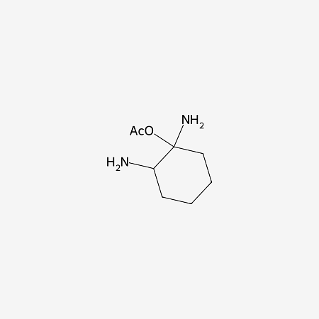 CC(=O)OC1(N)CCCCC1N